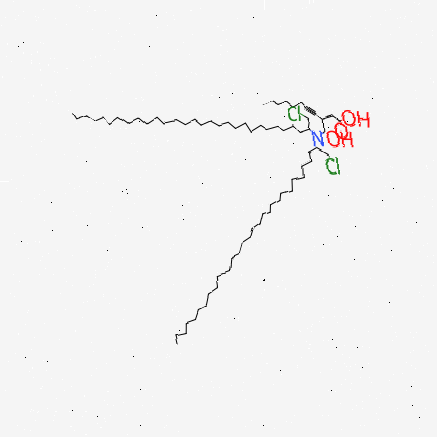 CCCCCCC#CC(CC(=O)O)C(O)N(C(CCl)CCCCCCCCCCCCCCCCCCCCCCCCCCCC)C(CCl)CCCCCCCCCCCCCCCCCCCCCCCCCCCC